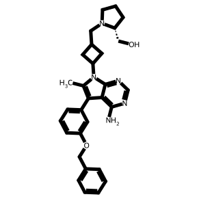 Cc1c(-c2cccc(OCc3ccccc3)c2)c2c(N)ncnc2n1C1CC(CN2CCC[C@@H]2CO)C1